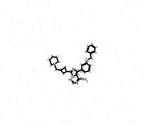 Nc1ncnn2c(C3CC(CN4CCCCC4)C3)nc(-c3cccc(OCc4ccccc4)c3)c12